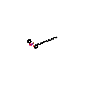 CCCCCCCCCCCCCCCc1cccc(O[PH](=S)Oc2ccccc2)c1